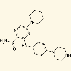 NC(=O)c1ncc(N2CCCCC2)nc1Nc1ccc(N2CCNCC2)cc1